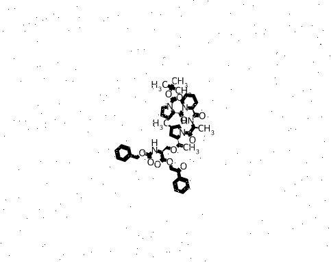 CC(OC[C@H](NC(=O)OCc1ccccc1)C(=O)OCC(=O)c1ccccc1)[C@@H]1C[C@@H](C)CN1C(=O)[C@H](C)NC(=O)[C@@H]1CCCCN1C(=O)[C@@H]1CCCN1C(=O)OC(C)(C)C